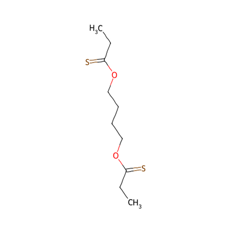 CCC(=S)OCCCCOC(=S)CC